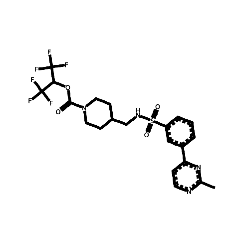 Cc1nccc(-c2cccc(S(=O)(=O)NCC3CCN(C(=O)OC(C(F)(F)F)C(F)(F)F)CC3)c2)n1